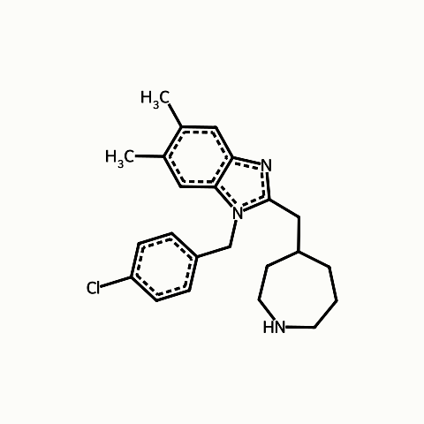 Cc1cc2nc(CC3CCCNCC3)n(Cc3ccc(Cl)cc3)c2cc1C